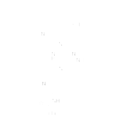 CCCC(=O)Nc1cncc(-c2ccc3[nH]nc(-c4nc5c(-c6cc(C)cc(F)c6)nccc5[nH]4)c3n2)c1